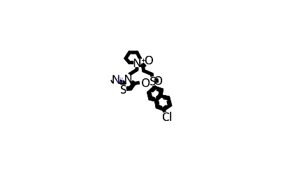 C/N=c1\scc(C)n1CC[N+]1(C(=O)CCS(=O)(=O)c2ccc3cc(Cl)ccc3c2)CCCCC1